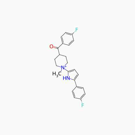 C[N+]1(c2ccc(-c3ccc(F)cc3)[nH]2)CCC(C(=O)c2ccc(F)cc2)CC1